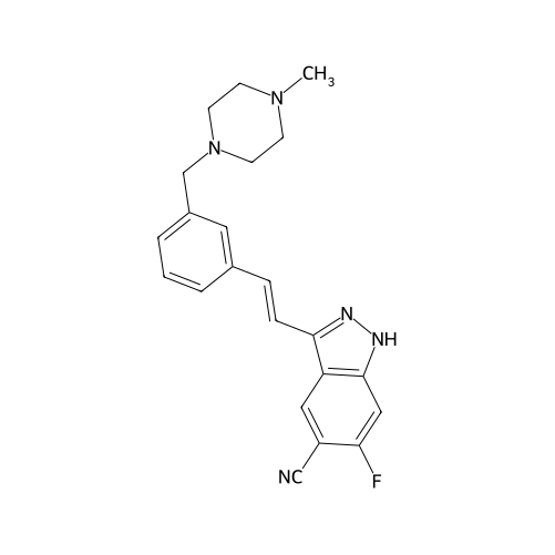 CN1CCN(Cc2cccc(C=Cc3n[nH]c4cc(F)c(C#N)cc34)c2)CC1